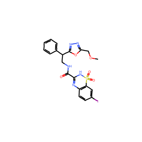 COCc1nnc(C(CNC(=O)C2=Nc3ccc(I)cc3S(=O)(=O)N2)c2ccccc2)o1